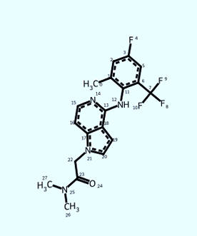 Cc1cc(F)cc(C(F)(F)F)c1Nc1nccc2c1ccn2CC(=O)N(C)C